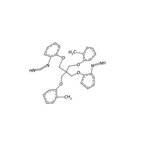 Cc1ccccc1OCC(COc1ccccc1C)(COc1ccccc1N=N)COc1ccccc1N=C=N